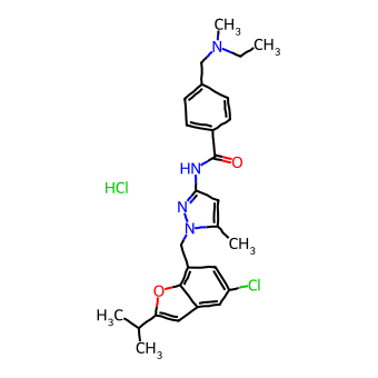 CCN(C)Cc1ccc(C(=O)Nc2cc(C)n(Cc3cc(Cl)cc4cc(C(C)C)oc34)n2)cc1.Cl